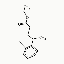 CCOC(=O)CCC(C)c1ccccc1I